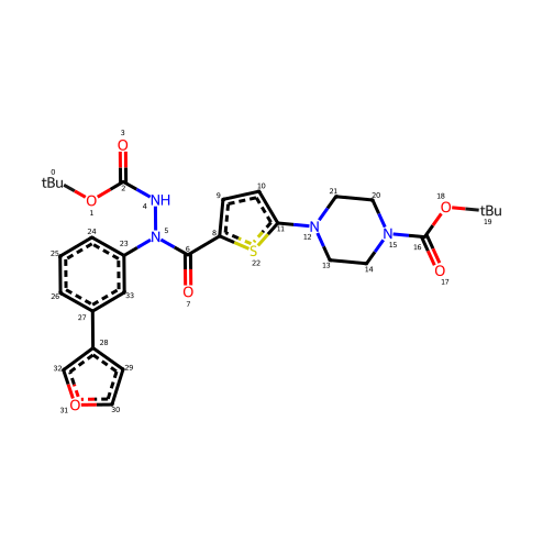 CC(C)(C)OC(=O)NN(C(=O)c1ccc(N2CCN(C(=O)OC(C)(C)C)CC2)s1)c1cccc(-c2ccoc2)c1